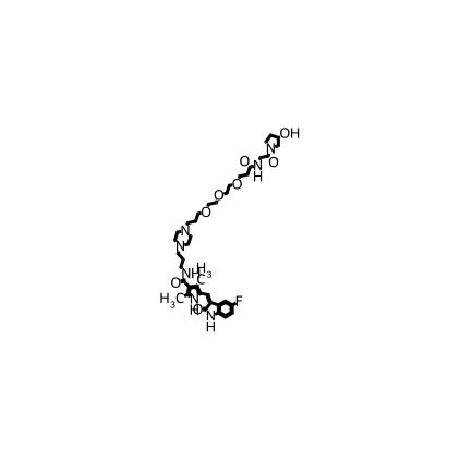 Cc1[nH]c(/C=C2\C(=O)Nc3ccc(F)cc32)c(C)c1C(=O)NCCCN1CCN(CCCOCCOCCOCCC(=O)NCC(=O)N2CC[C@@H](O)C2)CC1